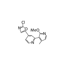 COc1nccc(C)c1-c1cc(-c2cnc(Cl)o2)ccn1